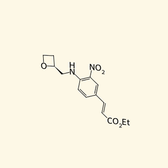 CCOC(=O)/C=C/c1ccc(NC[C@@H]2CCO2)c([N+](=O)[O-])c1